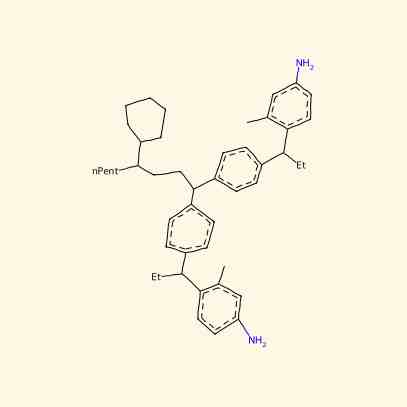 CCCCCC(CCC(c1ccc(C(CC)c2ccc(N)cc2C)cc1)c1ccc(C(CC)c2ccc(N)cc2C)cc1)C1CCCCC1